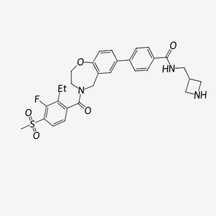 CCc1c(C(=O)N2CCOc3ccc(-c4ccc(C(=O)NCC5CNC5)cc4)cc3C2)ccc(S(C)(=O)=O)c1F